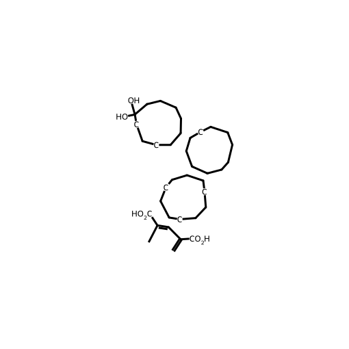 C1CCCCCCCCC1.C1CCCCCCCCC1.C=C(C=C(C)C(=O)O)C(=O)O.OC1(O)CCCCCCCCC1